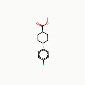 COC(=O)[C@H]1CC[C@H](c2ccc(Cl)cc2)CC1